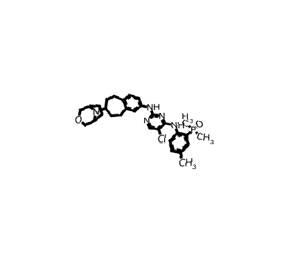 Cc1ccc(Nc2nc(Nc3ccc4c(c3)CCC(N3C5CCC3COC5)CC4)ncc2Cl)c(P(C)(C)=O)c1